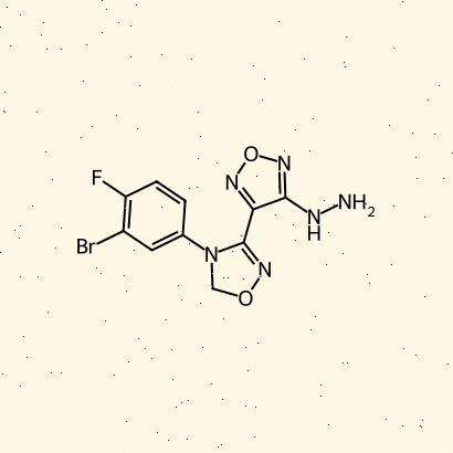 NNc1nonc1C1=NOCN1c1ccc(F)c(Br)c1